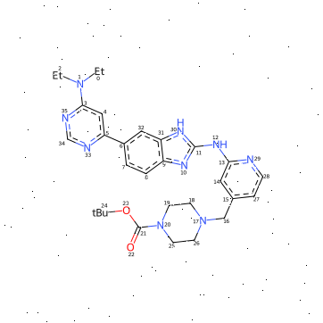 CCN(CC)c1cc(-c2ccc3nc(Nc4cc(CN5CCN(C(=O)OC(C)(C)C)CC5)ccn4)[nH]c3c2)ncn1